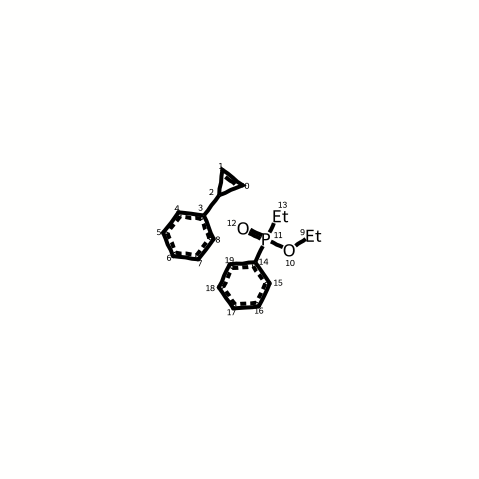 C1=CC1c1ccccc1.CCOP(=O)(CC)c1ccccc1